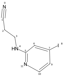 N#CCCNc1cc(I)ccn1